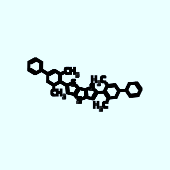 CC1=CC(C2C=CC=CC2)CC(C)=C1c1cc2sc3cc(C4=C(C)C=C(c5ccccc5)CC4C)sc3c2s1